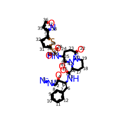 [N-]=[N+]=CC(=O)[C@H](Cc1ccccc1)NC(=O)[C@@H]1CCCN2C(=O)CCC(NS(=O)(=O)c3ccc(-c4ccon4)s3)C(=O)N12